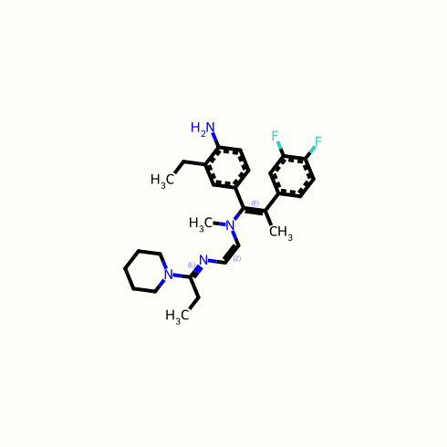 CC/C(=N\C=C/N(C)/C(=C(\C)c1ccc(F)c(F)c1)c1ccc(N)c(CC)c1)N1CCCCC1